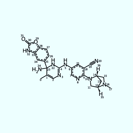 CC1=CN=C(Nc2cnc(N3C[C@@H]4C[C@H]3CN4C)c(C#N)c2)NC1(N)c1ccc2oc(=O)[nH]c2c1